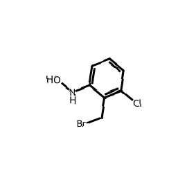 ONc1cccc(Cl)c1CBr